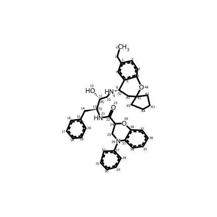 CCc1ccc2c(c1)[C@@H](NC[C@@H](O)[C@H](Cc1ccccc1)NC(=O)C1CN(c3ccccc3)c3ccccc3O1)CC1(CCCC1)O2